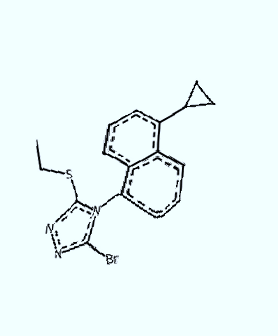 CCSc1nnc(Br)n1-c1cccc2c(C3CC3)cccc12